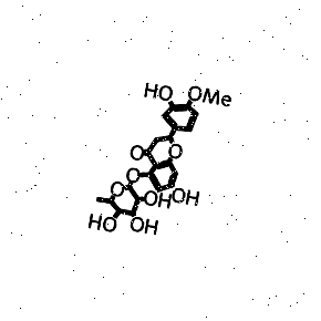 COc1ccc(C2CC(=O)c3c(cc(O)cc3OC3OC(C)C(O)C(O)C3O)O2)cc1O